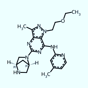 CCOCCn1nc(C)c2nc(N3C[C@H]4C[C@@H]3CN4)nc(Nc3cc(C)ccn3)c21